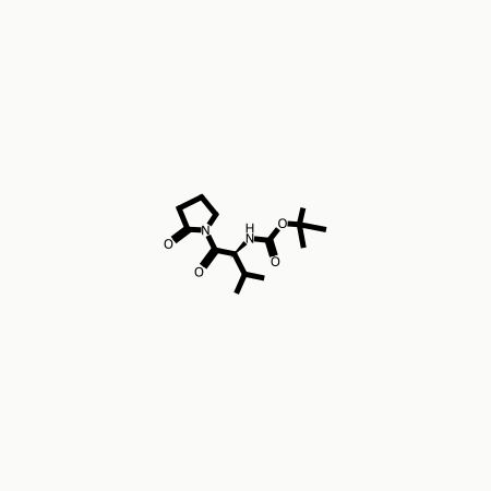 CC(C)[C@H](NC(=O)OC(C)(C)C)C(=O)N1CCCC1=O